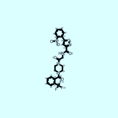 O=C(NCC(=O)N1CCN(C(=O)c2ccccc2C(F)(F)F)CC1)c1cc(-c2ccccc2[N+](=O)[O-])on1